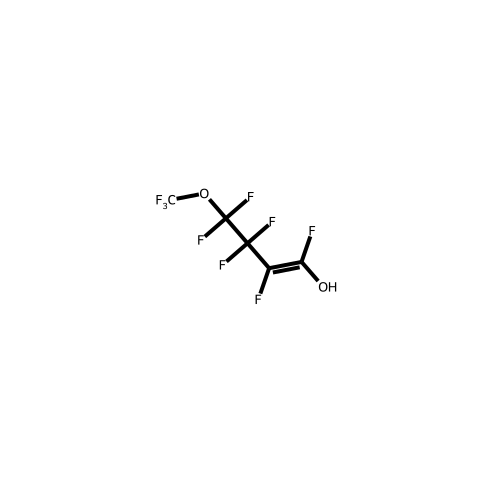 OC(F)=C(F)C(F)(F)C(F)(F)OC(F)(F)F